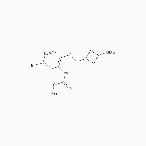 COC1CC(COc2cnc(Br)cc2NC(=O)OC(C)(C)C)C1